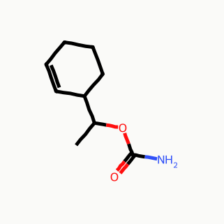 CC(OC(N)=O)C1C=CCCC1